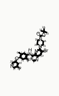 Cc1cc(Nc2ncnc3cc(Br)c(N4CCN(C(=O)OC(C)(C)C)CC4)nc23)c(F)cc1Oc1cncc(F)c1